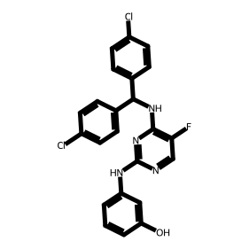 Oc1cccc(Nc2ncc(F)c(NC(c3ccc(Cl)cc3)c3ccc(Cl)cc3)n2)c1